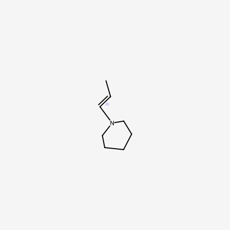 C/C=C/N1CCCCC1